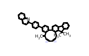 C=C1/C=C\C=C/Cc2c(ccc3c2C(C)(C)c2ccccc2-3)-c2ccc(-c3ccc(-c4ccc5ccccc5n4)cc3)cc21